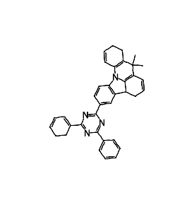 CC1(C)C2=C3C(CC=C2)c2cc(-c4nc(C5=CC=CCC5)nc(-c5ccccc5)n4)ccc2N3C2=C1CCC=C2